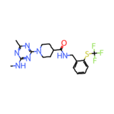 CNc1nc(C)nc(N2CCC(C(=O)NCc3ccccc3SC(F)(F)F)CC2)n1